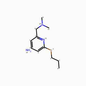 CCCSc1cccc(CN(C)C)n1.N